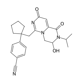 CC(C)N1C(=O)c2cc(=O)nc(CC3(c4ccc(C#N)cc4)CCCC3)n2CC1O